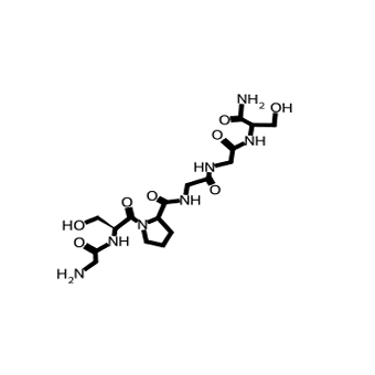 NCC(=O)N[C@@H](CO)C(=O)N1CCCC1C(=O)NCC(=O)NCC(=O)NC(CO)C(N)=O